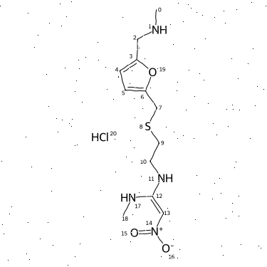 CNCc1ccc(CSCCN/C(=C/[N+](=O)[O-])NC)o1.Cl